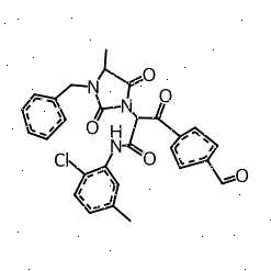 Cc1ccc(Cl)c(NC(=O)C(C(=O)c2ccc(C=O)cc2)N2C(=O)C(C)N(Cc3ccccc3)C2=O)c1